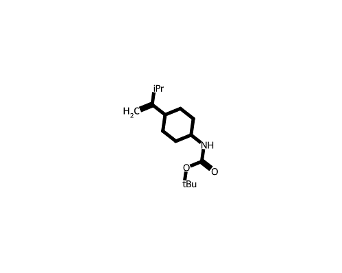 C=C(C(C)C)C1CCC(NC(=O)OC(C)(C)C)CC1